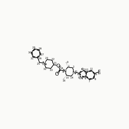 C[C@@H]1CN(c2nc3ccc(F)cc3s2)C[C@H](C)N1C(=O)OC1CCN(Cc2ccccc2)CC1